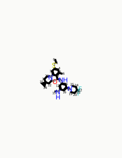 CCSc1cc(C)c(C(=O)Nc2cc(NC)cc(N3CCC(F)(F)CC3)c2)c(N2CCC3(CC2)CC3)c1